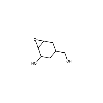 OCC1CC(O)C2OC2C1